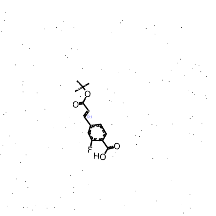 CC(C)(C)OC(=O)/C=C/c1ccc(C(=O)O)c(F)c1